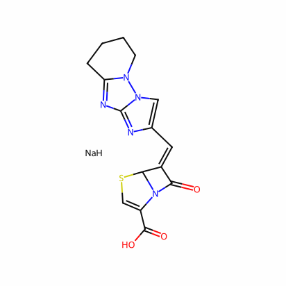 O=C(O)C1=CSC2/C(=C\c3cn4c(n3)nc3n4CCCC3)C(=O)N12.[NaH]